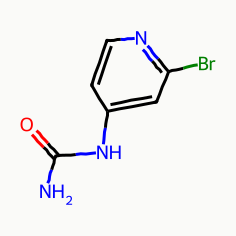 NC(=O)Nc1ccnc(Br)c1